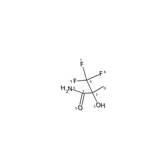 CC(O)(C(N)=O)C(F)(F)F